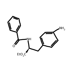 CCOC(=O)[C@H](Cc1ccc(N)cc1)NC(=O)c1ccccc1